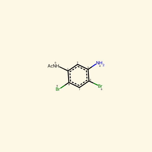 CC(=O)Nc1cc(N)c(Br)cc1Br